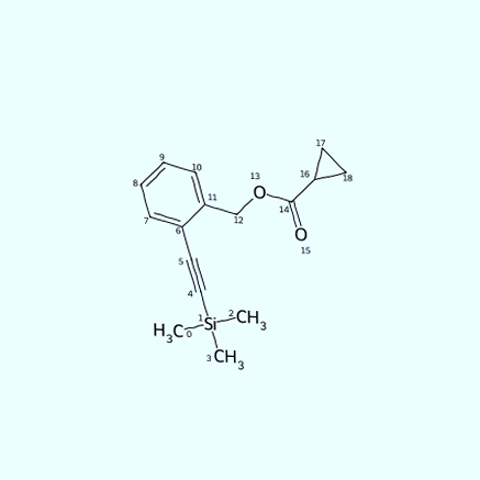 C[Si](C)(C)C#Cc1ccccc1COC(=O)C1CC1